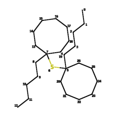 CCCCCC1(SC2(CCCCC)CCCCCCC2)CCCCCCC1